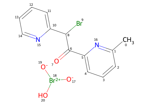 Cc1cccc(C(=O)C(Br)c2ccccn2)n1.[O-][Br+2]([O-])O